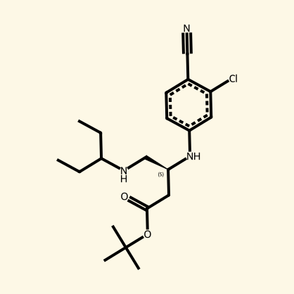 CCC(CC)NC[C@H](CC(=O)OC(C)(C)C)Nc1ccc(C#N)c(Cl)c1